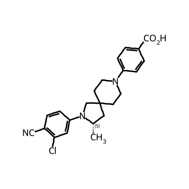 C[C@H]1CC2(CCN(c3ccc(C(=O)O)cc3)CC2)CN1c1ccc(C#N)c(Cl)c1